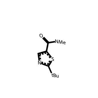 CNC(=O)c1cnc(C(C)(C)C)s1